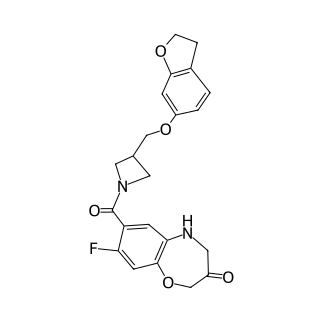 O=C1CNc2cc(C(=O)N3CC(COc4ccc5c(c4)OCC5)C3)c(F)cc2OC1